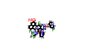 C#Cc1c(F)ccc2cc(O)cc(-c3nc(C(=O)NCC(F)(F)F)c4c(N5CC6CCC(C5)N6)nc(OC[C@@]56CCCN5C[C@H](F)C6)nc4c3F)c12